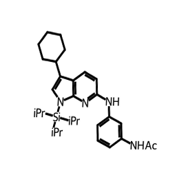 CC(=O)Nc1cccc(Nc2ccc3c(C4CCCCC4)cn([Si](C(C)C)(C(C)C)C(C)C)c3n2)c1